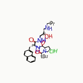 CC(C)CNC[C@H](O)CNC(=O)[C@@H](Cc1ccc2ccccc2c1)NC(=O)C1CCCN1C(=O)C(C)(C)C.Cl